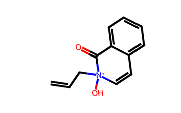 C=CC[N+]1(O)C=Cc2ccccc2C1=O